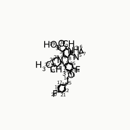 Cc1nc(NC2CC2)c(-c2ccc(OCCc3ccc(F)cc3)c(F)c2)c(N2CCC(C)(C)CC2)c1CC(=O)O